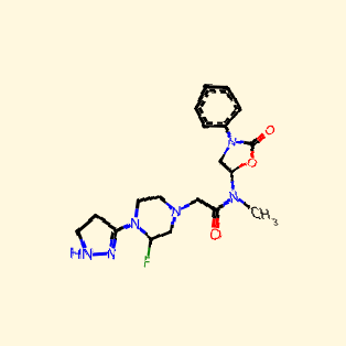 CN(C(=O)CN1CCN(C2=NNCC2)C(F)C1)C1CN(c2ccccc2)C(=O)O1